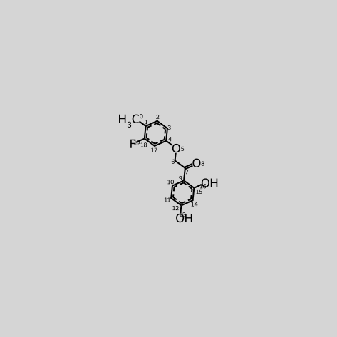 Cc1ccc(OCC(=O)c2ccc(O)cc2O)cc1F